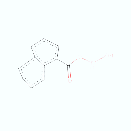 O=C(OBO)c1cccc2ccccc12